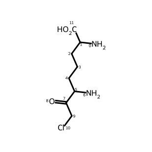 NC(CCCC(N)C(=O)CCl)C(=O)O